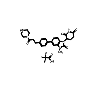 Cn1c(=O)n(C2CCC(=O)NC2=O)c2ccc(-c3ccc(CCC(=O)N4CCNCC4)cc3)cc21.O=C(O)C(F)(F)F